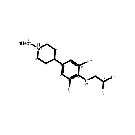 CCCCCCC[SiH]1CCC(c2cc(F)c(OCC(F)F)c(F)c2)CC1